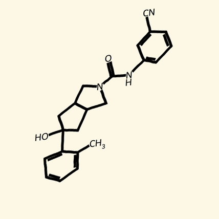 Cc1ccccc1C1(O)CC2CN(C(=O)Nc3cccc(C#N)c3)CC2C1